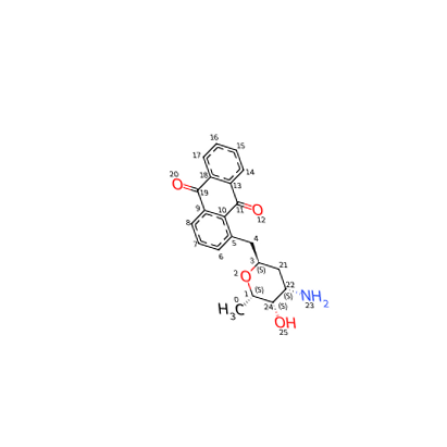 C[C@@H]1O[C@@H](Cc2cccc3c2C(=O)c2ccccc2C3=O)C[C@H](N)[C@@H]1O